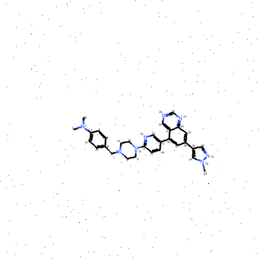 CN(C)c1ccc(CN2CCN(c3ccc(-c4cc(-c5cnn(C)c5)cc5ncncc45)cn3)CC2)cc1